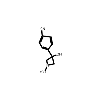 CC(C)(C)N1CC(O)(c2ccc(C#N)cc2)C1